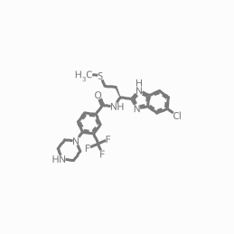 CSCC[C@H](NC(=O)c1ccc(N2CCNCC2)c(C(F)(F)F)c1)c1nc2cc(Cl)ccc2[nH]1